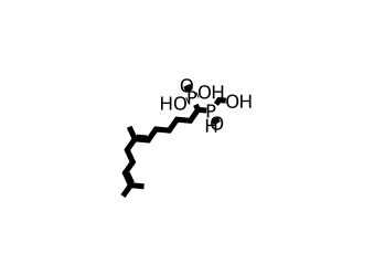 CC(C)=CCCC(C)=CCCCCC([PH](=O)CO)P(=O)(O)O